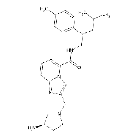 Cc1ccc(C(CNC(=O)c2cccc3nc(CN4CC[C@@H](N)C4)cn23)CC(C)C)cc1